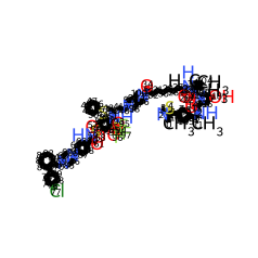 Cc1ncsc1-c1ccc([C@H](C)NC(=O)C2CC(O)CN2C(=O)[C@@H](NC(=O)CCCCCCC(=O)N2CC3CN(CC[C@H](CSc4ccccc4)Nc4ccc(S(=O)(=O)NC(=O)c5ccc(N6CCN(CC7=C(c8ccc(Cl)cc8)CCCCC7)CC6)cc5)cc4S(=O)(=O)C(F)(F)F)CC3C2)C(C)(C)C)cc1